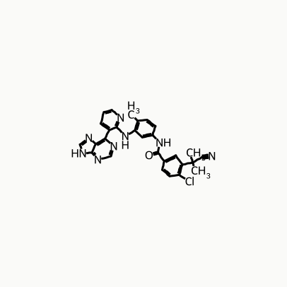 Cc1ccc(NC(=O)c2ccc(Cl)c(C(C)(C)C#N)c2)cc1Nc1ncccc1-c1ncnc2[nH]cnc12